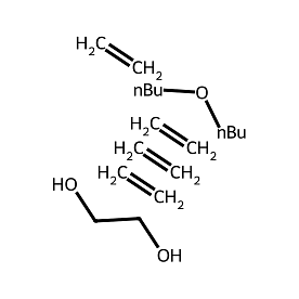 C=C.C=C.C=C.C=C.CCCCOCCCC.OCCO